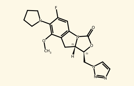 COc1c2c(cc(F)c1N1CCCC1)N1C(=O)O[C@@H](Cn3ccnn3)[C@@H]1C2